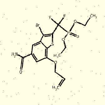 C=CCOc1cc(C(N)=O)cc2c(Br)c(C(F)(F)P(=O)(OCC)OCC)sc12